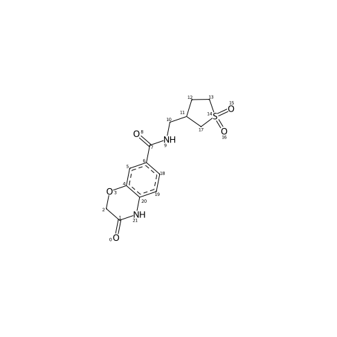 O=C1COc2cc(C(=O)NCC3CCS(=O)(=O)C3)ccc2N1